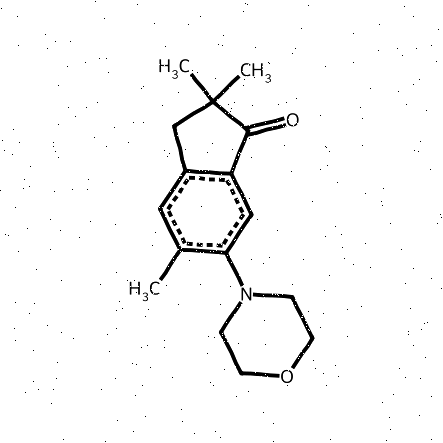 Cc1cc2c(cc1N1CCOCC1)C(=O)C(C)(C)C2